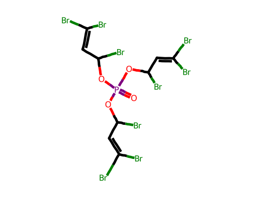 O=P(OC(Br)C=C(Br)Br)(OC(Br)C=C(Br)Br)OC(Br)C=C(Br)Br